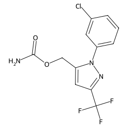 NC(=O)OCc1cc(C(F)(F)F)nn1-c1cccc(Cl)c1